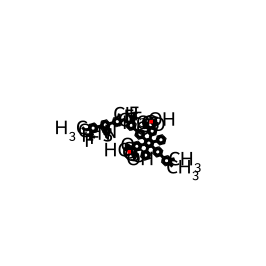 COc1ccc(-c2ccc(-c3ccc(Oc4ccc(-c5ccc(-c6c(-c7ccc(S(=O)(=O)O)c(S(=O)(=O)O)c7)c(-c7ccccc7)c(-c7ccc(-c8ccc(C)c(C)c8)cc7)c(-c7ccccc7)c6-c6ccc(S(=O)(=O)O)c(S(=O)(=O)O)c6)cc5)cc4C(F)(F)F)c(C)c3)c3nsnc23)cc1C(F)(F)F